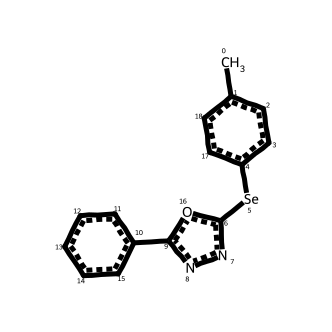 Cc1ccc([Se]c2nnc(-c3ccccc3)o2)cc1